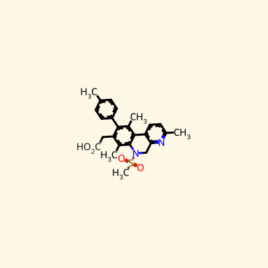 Cc1ccc(-c2c(C)c3c(c(C)c2CC(=O)O)N(S(C)(=O)=O)Cc2nc(C)ccc2-3)cc1